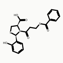 O=C(SCCC(=O)N1[C@@H](c2ccccc2O)SC[C@H]1C(=O)O)c1ccccc1